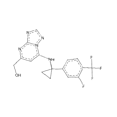 OCc1cc(NC2(c3ccc(C(F)(F)F)c(F)c3)CC2)n2ncnc2n1